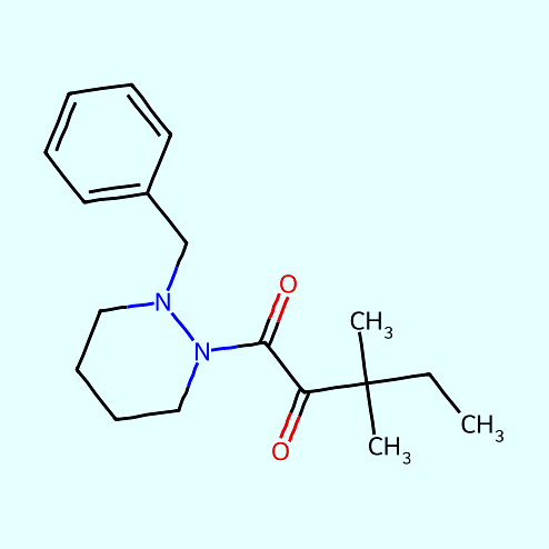 CCC(C)(C)C(=O)C(=O)N1CCCCN1Cc1ccccc1